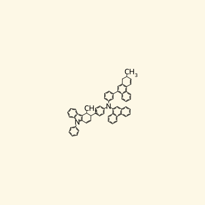 CC1C=Cc2c(cc(-c3cccc(N(c4ccc(C5C=Cc6c(c7ccccc7n6-c6ccccc6)C5C)cc4)c4cc5ccccc5c5ccccc45)c3)c3ccccc23)C1